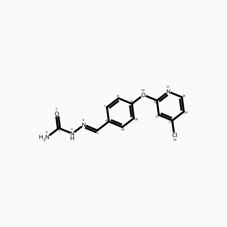 NC(=O)NN=Cc1ccc(Oc2cc(Cl)ccn2)cc1